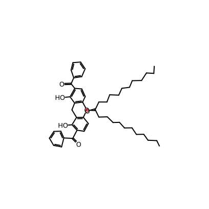 CCCCCCCCCCCCOc1ccc(C(=O)c2ccccc2)c(O)c1Cc1c(OCCCCCCCCCCCC)ccc(C(=O)c2ccccc2)c1O